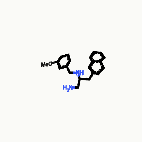 COc1cccc(CNC(CN)Cc2ccc3ccccc3c2)c1